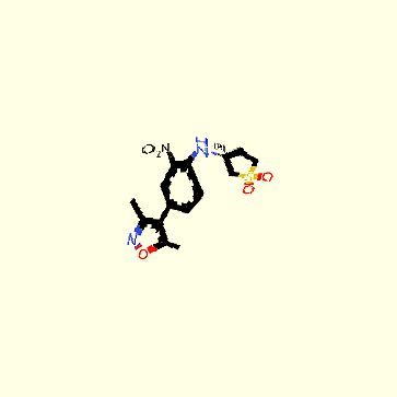 Cc1noc(C)c1-c1ccc(N[C@@H]2CCS(=O)(=O)C2)c([N+](=O)[O-])c1